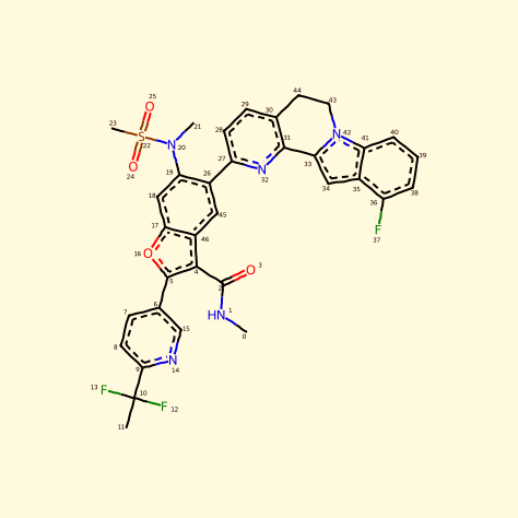 CNC(=O)c1c(-c2ccc(C(C)(F)F)nc2)oc2cc(N(C)S(C)(=O)=O)c(-c3ccc4c(n3)-c3cc5c(F)cccc5n3CC4)cc12